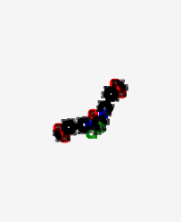 O=C(C(CCl)N1CC=C(c2ccc3c(c2)OCCO3)CC1)C(CCl)N1CC=C(c2ccc3c(c2)OCCO3)CC1